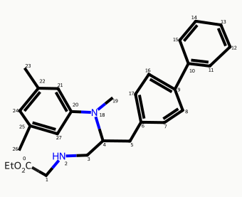 CCOC(=O)CNCC(Cc1ccc(-c2ccccc2)cc1)N(C)c1cc(C)cc(C)c1